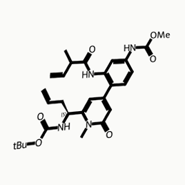 C=CC[C@H](NC(=O)OC(C)(C)C)c1cc(-c2ccc(NC(=O)OC)cc2NC(=O)C(C)C=C)cc(=O)n1C